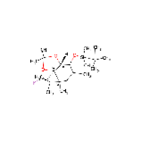 CC1C[C@@](C)(C(C)C)[C@@]2(CCI)OC(C)(C)O[C@@H]2C1O[Si](C)(C)C(C)(C)C